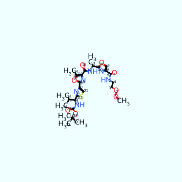 COOCCNC(=O)c1coc([C@H](C)NC(=O)c2nc(-c3csc([C@@H](NC(=O)OC(C)(C)C)C(C)C)n3)oc2C)n1